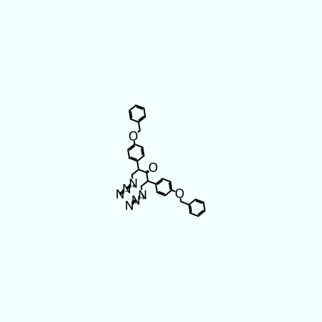 [N-]=[N+]=NCC(C(=O)C(CN=[N+]=[N-])c1ccc(OCc2ccccc2)cc1)c1ccc(OCc2ccccc2)cc1